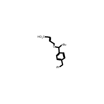 CCCCC(OC/C=C/C(=O)O)c1ccc(CC(C)C)cc1